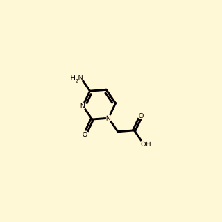 Nc1ccn(CC(=O)O)c(=O)n1